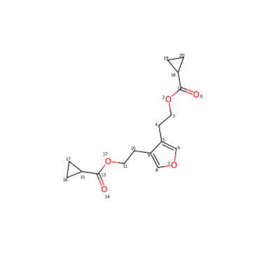 O=C(OCCc1cocc1CCOC(=O)C1CC1)C1CC1